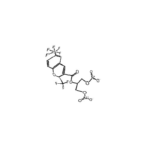 O=C(OC(CO[N+](=O)[O-])CO[N+](=O)[O-])C1=Cc2cc(S(F)(F)(F)(F)F)ccc2O[C@@H]1C(F)(F)F